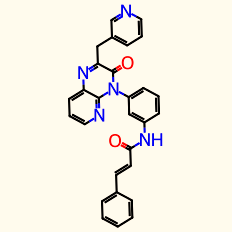 O=C(C=Cc1ccccc1)Nc1cccc(-n2c(=O)c(Cc3cccnc3)nc3cccnc32)c1